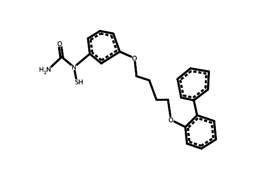 NC(=O)N(S)c1cccc(OCCCCOc2ccccc2-c2ccccc2)c1